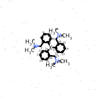 CN(C)Cc1cccc[c]1[Y]([c]1ccccc1CN(C)C)[c]1ccccc1CN(C)C